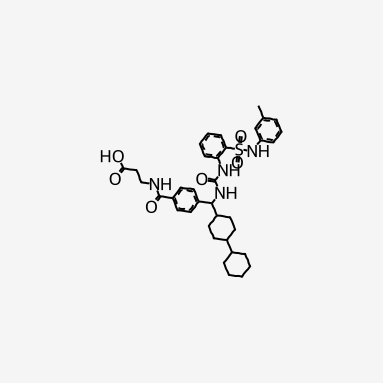 Cc1cccc(NS(=O)(=O)c2ccccc2NC(=O)NC(c2ccc(C(=O)NCCC(=O)O)cc2)C2CCC(C3CCCCC3)CC2)c1